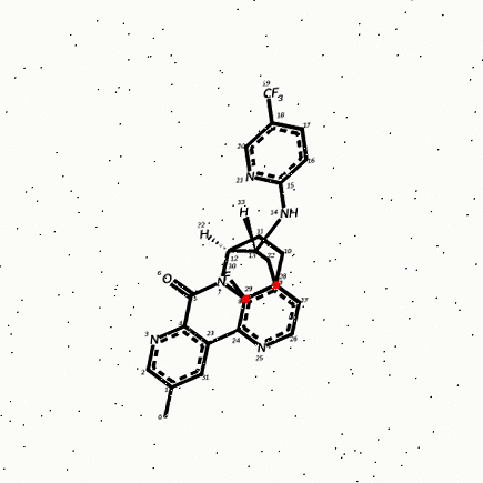 Cc1cnc(C(=O)N2CC3CC[C@H]2[C@H](Nc2ccc(C(F)(F)F)cn2)C3)c(-c2ncccc2F)c1